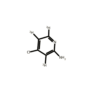 [2H]c1nc(N)c([2H])c(Cl)c1[2H]